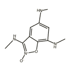 CNc1cc(NC)c2o[n+]([O-])c(NC)c2c1